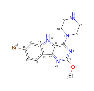 CCOc1nc(N2CCNCC2)c2[nH]c3cc(Br)ccc3c2n1